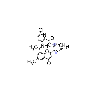 C#C/C=C(\C=C/C)c1cc(=O)c2cc(C)cc(C(C)Nc3ccc(Cl)nc3C(=O)O)c2o1